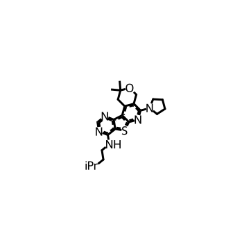 CC(C)CCNc1ncnc2c1sc1nc(N3CCCC3)c3c(c12)CC(C)(C)OC3